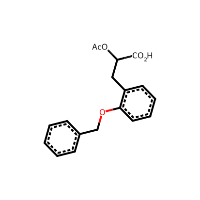 CC(=O)OC(Cc1ccccc1OCc1ccccc1)C(=O)O